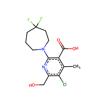 Cc1c(Cl)c(CO)nc(N2CCCC(F)(F)CC2)c1C(=O)O